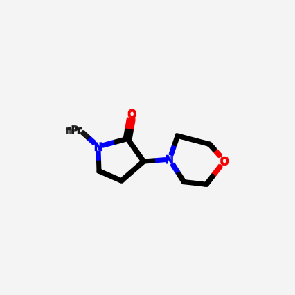 CCCN1CCC(N2CCOCC2)C1=O